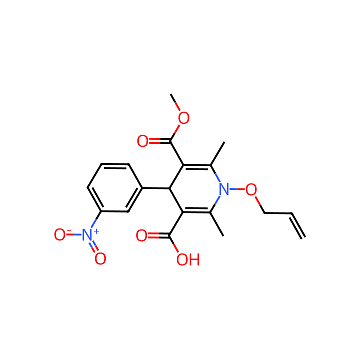 C=CCON1C(C)=C(C(=O)O)C(c2cccc([N+](=O)[O-])c2)C(C(=O)OC)=C1C